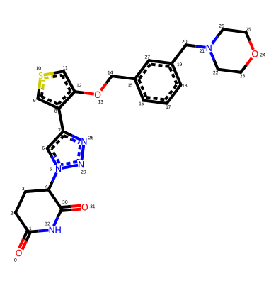 O=C1CCC(n2cc(-c3cscc3OCc3cccc(CN4CCOCC4)c3)nn2)C(=O)N1